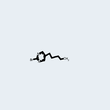 CCCCCc1cnc(Br)nc1